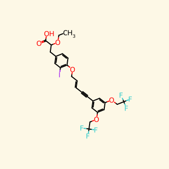 CCOC(Cc1ccc(OCC=CC#Cc2cc(OCC(F)(F)F)cc(OCC(F)(F)F)c2)c(I)c1)C(=O)O